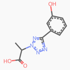 CC(C(=O)O)n1nnc(-c2cccc(O)c2)n1